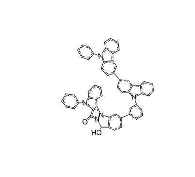 O=c1c2c(c3ccccc3n2-c2ccccc2)n2n1C(O)c1ccc(-c3cccc(-n4c5ccccc5c5cc(-c6ccc7c(c6)c6ccccc6n7-c6ccccc6)ccc54)c3)cc1-2